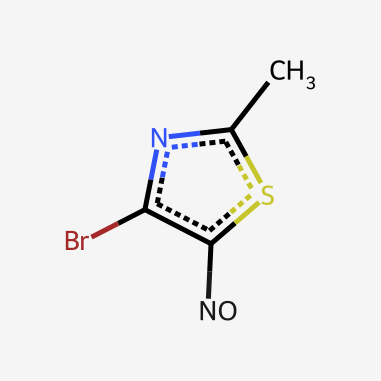 Cc1nc(Br)c(N=O)s1